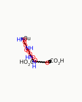 CCCCNC(=O)COCCOCCNC(=O)COCCOCCNC(=O)CCC(NC(=O)CCCCCCCCCCOc1ccc(C(=O)O)cc1)C(=O)O